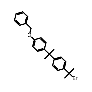 CC(C)(Br)c1ccc(C(C)(C)c2ccc(OCc3ccccc3)cc2)cc1